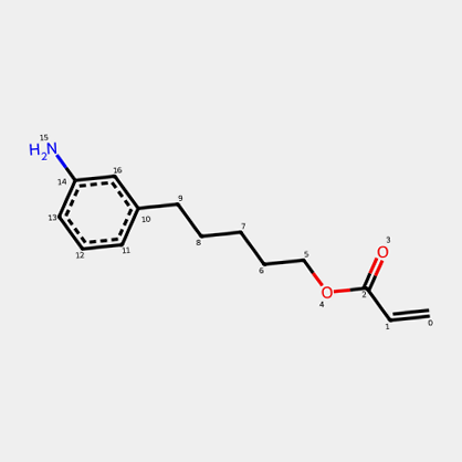 C=CC(=O)OCCCCCc1cccc(N)c1